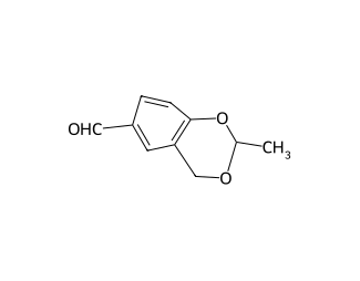 CC1OCc2cc(C=O)ccc2O1